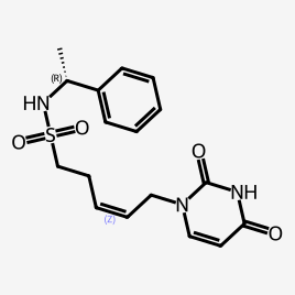 C[C@@H](NS(=O)(=O)CC/C=C\Cn1ccc(=O)[nH]c1=O)c1ccccc1